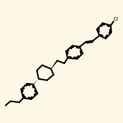 CCCc1ccc([C@H]2CC[C@H](CCc3ccc(C=Cc4ccc(Cl)cc4)cc3)CC2)cc1